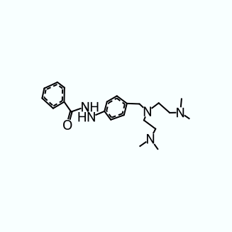 CN(C)CCN(CCN(C)C)Cc1ccc(NNC(=O)c2ccccc2)cc1